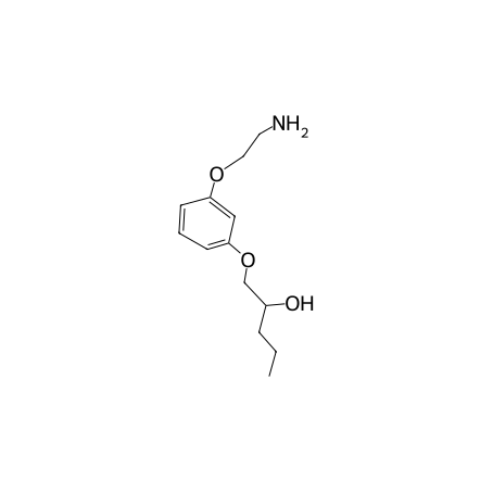 CCCC(O)COc1cccc(OCCN)c1